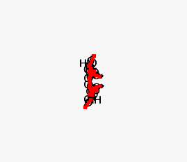 CCCCOC(=O)Nc1ccn([C@H]2O[C@H](COC(=O)CCCC(=O)OC[C@H]3O[C@@H](n4ccc(NC(=O)OCCCC)nc4=O)C(F)(F)[C@@H]3OC(=O)OCCCC)[C@@H](OC(=O)OCCCC)C2(F)F)c(=O)n1